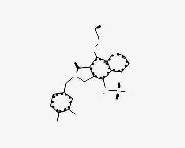 C=CPOc1c2c(c(N(C)S(C)(=O)=O)c3cccnc13)CN(Cc1ccc(F)c(F)c1)C2=O